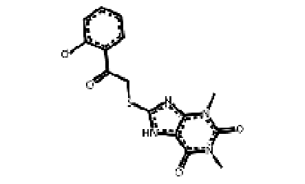 Cn1c(=O)c2[nH]c(SCC(=O)c3ccccc3Cl)nc2n(C)c1=O